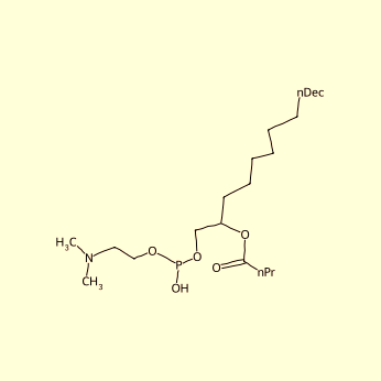 CCCCCCCCCCCCCCCCC(COP(O)OCCN(C)C)OC(=O)CCC